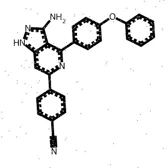 N#Cc1ccc(-c2cc3[nH]nc(N)c3c(-c3ccc(Oc4ccccc4)cc3)n2)cc1